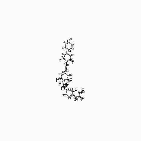 Cc1ccc(-c2cc(C)c(C#Cc3cc(F)c(C(F)(F)Oc4ccc5c(F)c(F)c(F)cc5c4)c(F)c3)c(F)c2)cc1